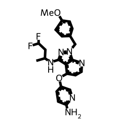 COc1ccc(Cn2nc(NC(C)CC(F)F)c3c(Oc4ccc(N)nc4)ccnc32)cc1